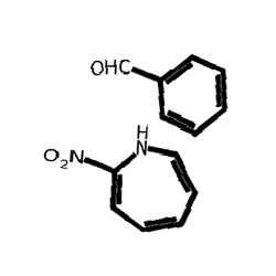 O=Cc1ccccc1.O=[N+]([O-])C1=CC=CC=CN1